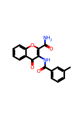 Cc1cccc(C(=O)Nc2c(C(N)=O)oc3ccccc3c2=O)c1